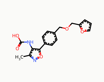 Cc1noc(-c2ccc(COCc3ccco3)cc2)c1NC(=O)O